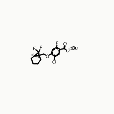 CC(C)(C)OC(=O)c1cc(Cl)c(OCC23CCCC[C@@H]2C3(F)F)cc1F